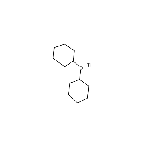 C1CCC(OC2CCCCC2)CC1.[Ti]